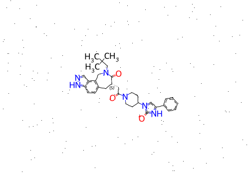 CC(C)(C)CN1Cc2c(ccc3[nH]ncc23)C[C@@H](CC(=O)N2CCC(n3cc(-c4ccccc4)[nH]c3=O)CC2)C1=O